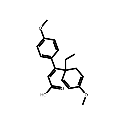 CCC1(C(=CC(=O)O)c2ccc(OC)cc2)C=CC(OC)=CC1